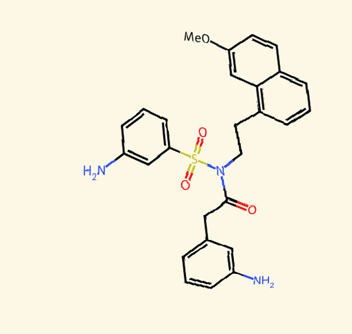 COc1ccc2cccc(CCN(C(=O)Cc3cccc(N)c3)S(=O)(=O)c3cccc(N)c3)c2c1